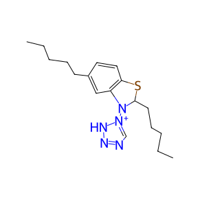 CCCCCc1ccc2c(c1)N([n+]1cnn[nH]1)C(CCCCC)S2